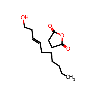 CCCCCCC=CCCO.O=C1CCC(=O)O1